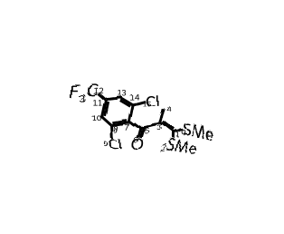 CSC(SC)=C(C)C(=O)c1c(Cl)cc(C(F)(F)F)cc1Cl